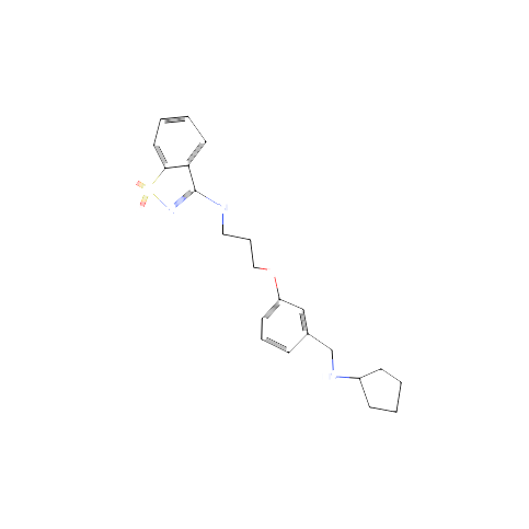 O=S1(=O)N=C(NCCCOc2cccc(CNC3CCCC3)c2)c2ccccc21